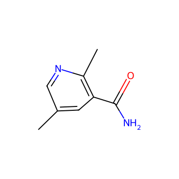 Cc1cnc(C)c(C(N)=O)c1